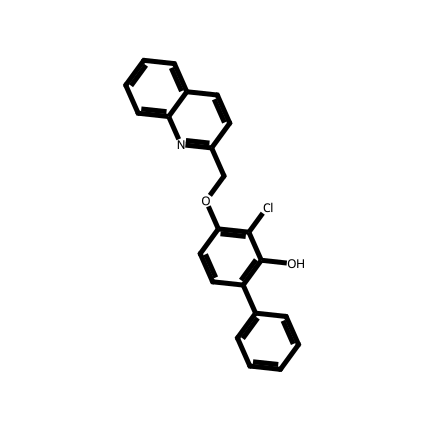 Oc1c(-c2ccccc2)ccc(OCc2ccc3ccccc3n2)c1Cl